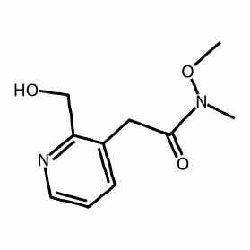 CON(C)C(=O)Cc1cccnc1CO